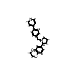 c1cc(-c2ccc(CN3CCCC3c3ccc4c(c3)OCCO4)cc2)ccn1